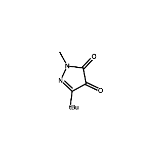 CN1N=C(C(C)(C)C)C(=O)C1=O